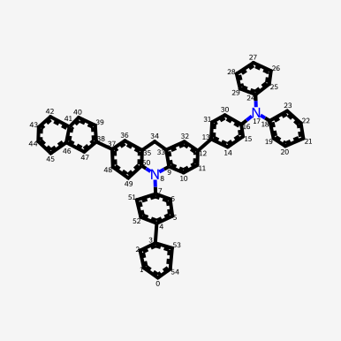 c1ccc(-c2ccc(N3c4ccc(-c5ccc(N(c6ccccc6)c6ccccc6)cc5)cc4Cc4cc(-c5ccc6ccccc6c5)ccc43)cc2)cc1